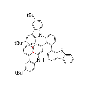 CC(C)(C)c1ccc(Nc2cccc(-c3c(-c4cccc5c4sc4ccccc45)cccc3-n3c4ccc(C(C)(C)C)cc4c4cc(C(C)(C)C)ccc43)c2)c(-c2ccccc2)c1